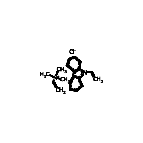 C=C[N+](C)(C)C.C=Cn1c2ccccc2c2ccccc21.[Cl-]